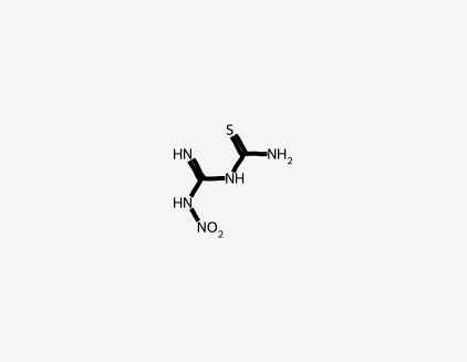 N=C(NC(N)=S)N[N+](=O)[O-]